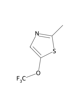 Cc1ncc(OC(F)(F)F)s1